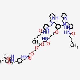 CCCCCC(=O)NC1=CC=CC(CN(Cc2cc(CN(Cc3cccc(NC(=O)CCCCC)n3)CC3C=CC=CN3)cc(OCCCCNC(=O)COCCOCCOCC(=O)NCc3ccc(CNC(=O)OC(C)(C)C)cc3)c2)Cc2ccccn2)N1